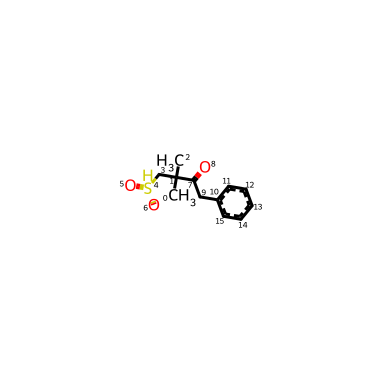 CC(C)(C[SH](=O)=O)C(=O)Cc1ccccc1